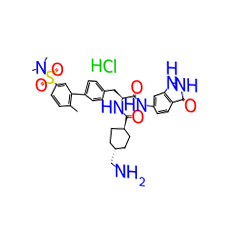 Cc1ccc(S(=O)(=O)N(C)C)cc1-c1ccc(C[C@H](NC(=O)[C@H]2CC[C@H](CN)CC2)C(=O)Nc2ccc3c(=O)[nH][nH]c3c2)cc1.Cl